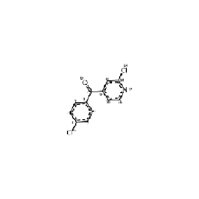 O=C(c1ccc(Cl)cc1)c1ccnc(Cl)c1